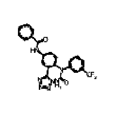 NC(=O)N(c1cccc(C(F)(F)F)c1)c1ccc(NC(=O)c2ccccc2)cc1-c1nnn[nH]1